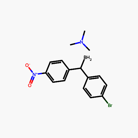 BC(c1ccc(Br)cc1)c1ccc([N+](=O)[O-])cc1.CN(C)C